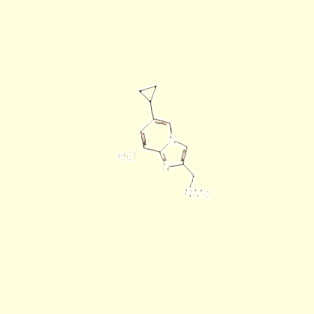 CNCc1cn2cc(C3CC3)ccc2n1.Cl